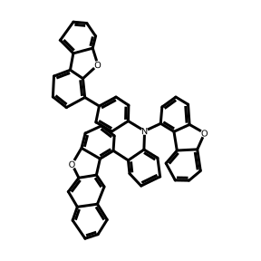 c1ccc(N(c2ccc(-c3cccc4c3oc3ccccc34)cc2)c2cccc3oc4ccccc4c23)c(-c2cccc3oc4cc5ccccc5cc4c23)c1